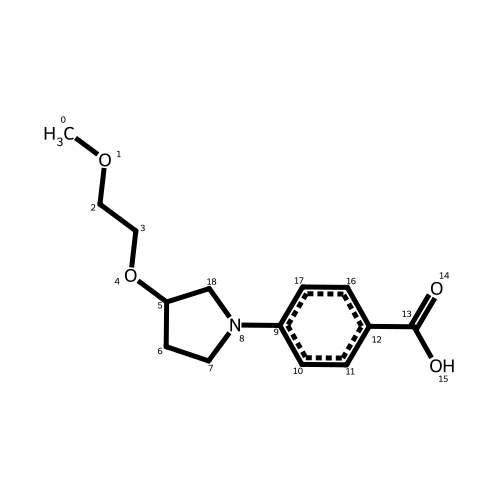 COCCOC1CCN(c2ccc(C(=O)O)cc2)C1